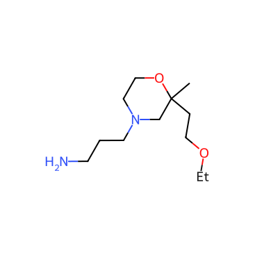 CCOCCC1(C)CN(CCCN)CCO1